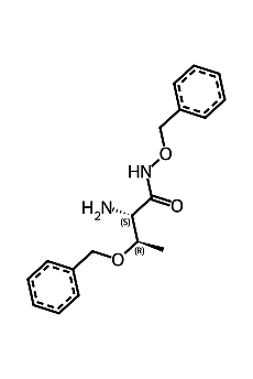 C[C@@H](OCc1ccccc1)[C@H](N)C(=O)NOCc1ccccc1